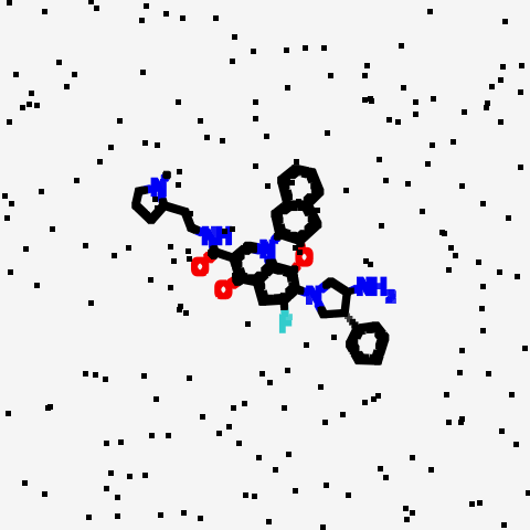 CN1CCCC1CCNC(=O)c1cn2c3c(c(N4C[C@@H](N)[C@H](c5ccccc5)C4)c(F)cc3c1=O)Oc1cc3ccccc3cc1-2